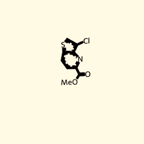 COC(=O)c1ccc2scc(Cl)c2n1